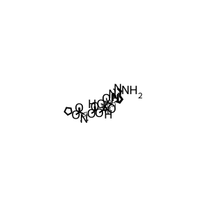 CN(C)[C@@H](COC(=O)OC1[C@H]2O[C@@H](c3ccc4c(N)ncnn34)[C@H](O)[C@@]12O)C(=O)OC1CCCC1